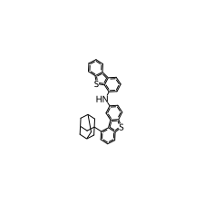 c1ccc2c(c1)sc1c(Nc3ccc4sc5cccc(C67CC8CC(CC(C8)C6)C7)c5c4c3)cccc12